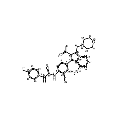 CC(=O)c1c(-c2ccc(NC(=O)Nc3ccc(C)cc3)c(F)c2)c2c(N)ncnn2c1CN1CCOCC1